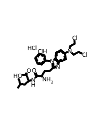 CC(C)CC(NC(=O)C(N)CCc1nc2cc(N(CCCl)CCCl)ccc2n1-c1ccccc1)C(=O)O.Cl.Cl